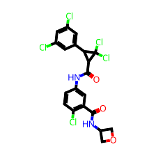 O=C(NC1COC1)c1cc(NC(=O)C2C(c3cc(Cl)cc(Cl)c3)C2(Cl)Cl)ccc1Cl